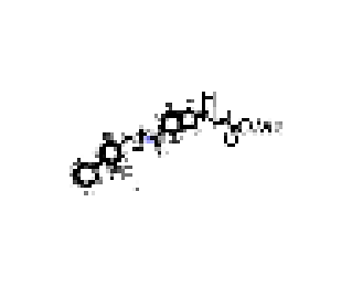 COC(=O)CCNC1Cc2ccc(/C(C)=N/OCc3ccc(C4CCCCC4)c(C(F)(F)F)c3)cc2C1